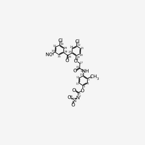 Cc1cc(OC(=O)N=S(=O)=O)ccc1NC(=O)COc1ccc(Cl)cc1C(=O)c1cc(Cl)cc(C#N)c1